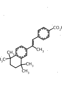 CC(=Cc1ccc(C(=O)O)cc1)c1ccc2c(c1)C(C)(C)CCC2(C)C